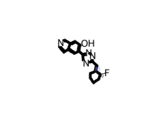 Oc1cc2cnccc2cc1-c1cnc(/C=C2\CCCC[C@H]2F)nn1